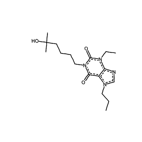 CCCn1cnc2c1c(=O)n(CCCCC(C)(C)O)c(=O)n2CC